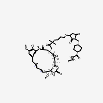 COc1cc2cc(c1Cl)N(C)C(=O)C[C@H](CC(=O)C(C)(C)OCCCSC1CC(=O)N(C[C@H]3CC[C@H](C(=O)NNI)CC3)C1=O)[C@]1(C)O[C@H]1[C@H](C)[C@@H]1C[C@@](O)(NC(=O)O1)[C@H](OC)/C=C/C=C(\C)C2